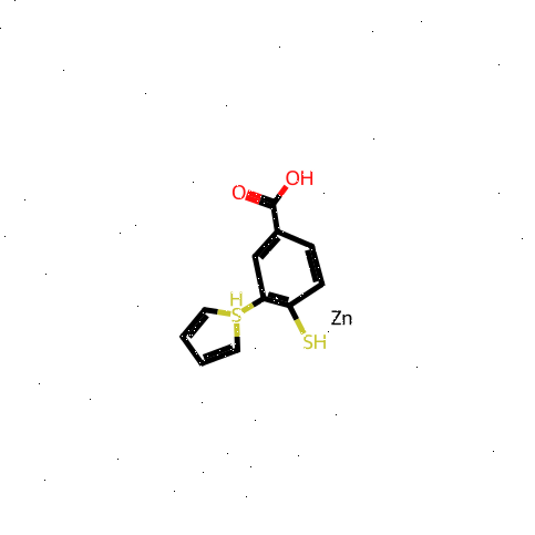 O=C(O)c1ccc(S)c([SH]2C=CC=C2)c1.[Zn]